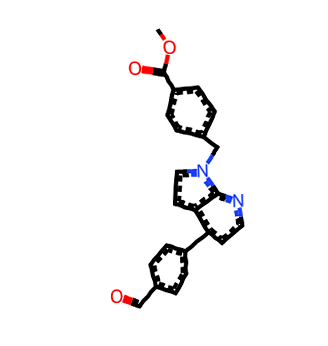 COC(=O)c1ccc(Cn2ccc3c(-c4ccc(C=O)cc4)ccnc32)cc1